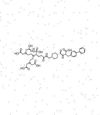 O=C(O)CN(CCN(CCN(CC(=O)O)CC(=O)O)C(CCC(=O)NC[C@H]1CC[C@H](C(=O)NC(Cc2ccc(-c3ccccc3)cc2)C(=O)O)CC1)P(=O)(O)O)CC(=O)O